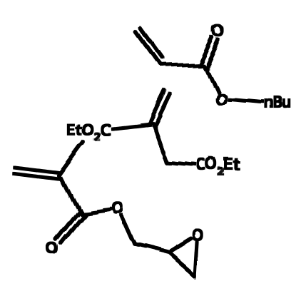 C=C(C)C(=O)OCC1CO1.C=C(CC(=O)OCC)C(=O)OCC.C=CC(=O)OCCCC